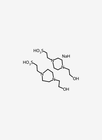 O=S(=O)(O)CCN1CCN(CCO)CC1.O=S(=O)(O)CCN1CCN(CCO)CC1.[NaH]